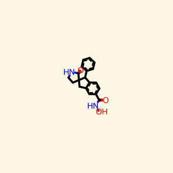 O=C(NO)c1ccc2c(c1)CC1(CCNC1=O)C2c1ccccc1